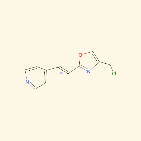 ClCc1coc(/C=C/c2ccncc2)n1